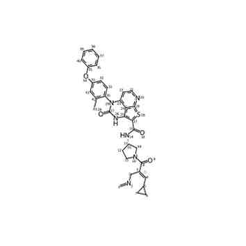 C=NC/C(=C\C1CC1)C(=O)N1CC[C@H](NC(=O)c2sc3nccc4c3c2NC(=O)N4c2ccc(Oc3ccccc3)cc2C)C1